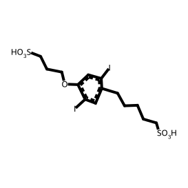 O=S(=O)(O)CCCCCc1cc(I)c(OCCCS(=O)(=O)O)cc1I